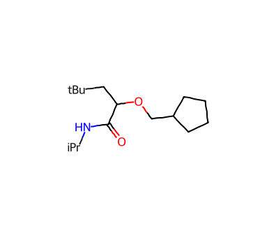 CC(C)NC(=O)C(CC(C)(C)C)OCC1CCCC1